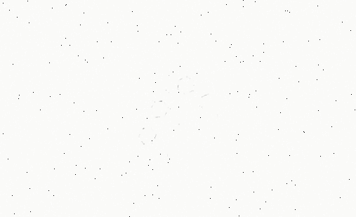 Cc1ccnc(-c2cnc(N3CC4(COC4)c4ccc(C(=O)N(C)CCO)cc43)nc2)c1